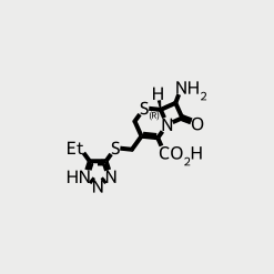 CCc1[nH]nnc1SCC1=C(C(=O)O)N2C(=O)C(N)[C@H]2SC1